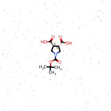 CC(C)(C)OC(=O)N1C[C@@H](C(=O)O)[C@H](C(=O)O)C1